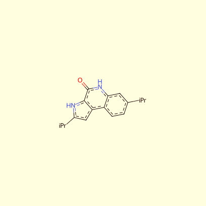 CC(C)c1ccc2c(c1)[nH]c(=O)c1[nH]c(C(C)C)cc12